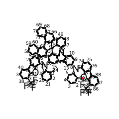 Cc1ccccc1N(c1ccc2c(c1)c1cc(N(c3ccccc3C)c3cccc4c3oc3c(C(F)(F)F)cccc34)cc3c1n2-c1ccccc1C31c2ccc3ccccc3c2-c2c1ccc1ccccc21)c1cccc2c1oc1c(C(F)(F)F)cccc12